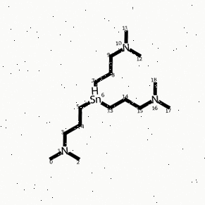 CN(C)CC[CH2][SnH]([CH2]CCN(C)C)[CH2]CCN(C)C